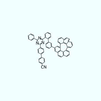 N#Cc1ccc(-c2ccc(-c3nc(-c4ccccc4)nc(-c4ccccc4-c4cccc(-c5cc6ccc7cccc8c9cccc%10ccc%11cccc(c(c5)c6c78)c%11c%109)c4)n3)cc2)cc1